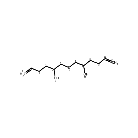 C=CCCC(O)CSCC(O)CCC=C